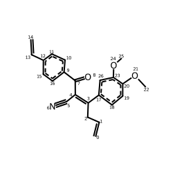 C=CCC(=C(C#N)C(=O)c1ccc(C=C)cc1)c1ccc(OC)c(OC)c1